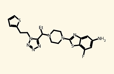 CCC(c1nnnn1CCc1cccs1)N1CCN(c2nc3cc(N)cc(F)c3s2)CC1